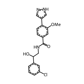 COc1cc(C(=O)NCC(O)c2cccc(Cl)c2)ccc1-c1cn[nH]c1